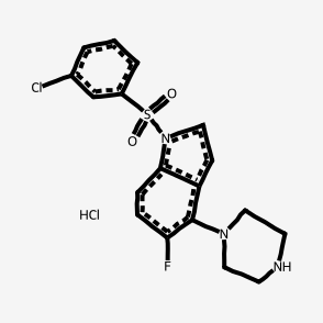 Cl.O=S(=O)(c1cccc(Cl)c1)n1ccc2c(N3CCNCC3)c(F)ccc21